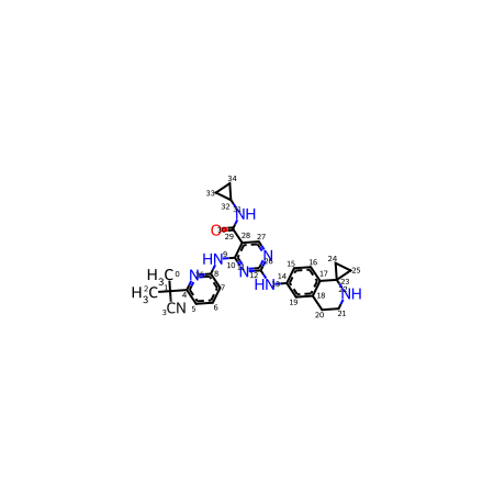 CC(C)(C#N)c1cccc(Nc2nc(Nc3ccc4c(c3)CCNC43CC3)ncc2C(=O)NC2CC2)n1